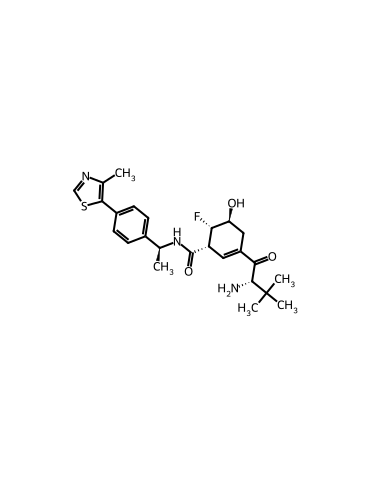 Cc1ncsc1-c1ccc([C@H](C)NC(=O)[C@H]2C=C(C(=O)[C@@H](N)C(C)(C)C)C[C@H](O)[C@H]2F)cc1